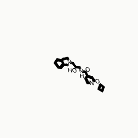 O=C(NC[C@H](O)CN1CCc2ccccc2C1)c1ccnc(OC2CCC2)c1